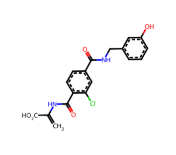 C=C(NC(=O)c1ccc(C(=O)NCc2cccc(O)c2)cc1Cl)C(=O)O